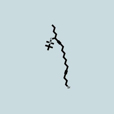 CCCCC(C#CCCCCCCCC#CCCCBr)O[Si](C)(C)C(C)(C)C